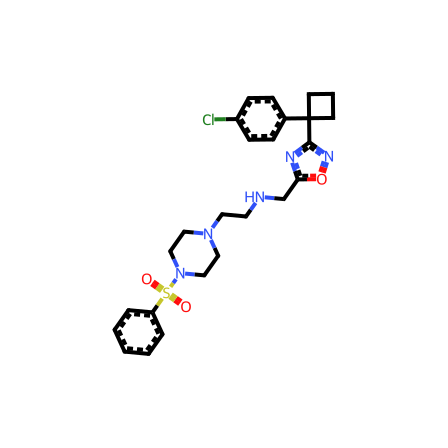 O=S(=O)(c1ccccc1)N1CCN(CCNCc2nc(C3(c4ccc(Cl)cc4)CCC3)no2)CC1